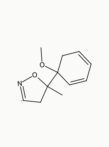 COC1(C2(C)C[C]=NO2)C=CC=CC1